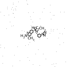 Cc1cc2cc(C(=O)N(Cc3cccc(-n4cncn4)c3)CC(C)C)ccc2nc1N